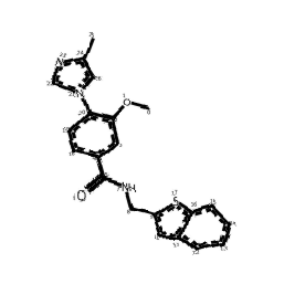 COc1cc(C(=O)NCc2cc3ccccc3s2)ccc1-n1cnc(C)c1